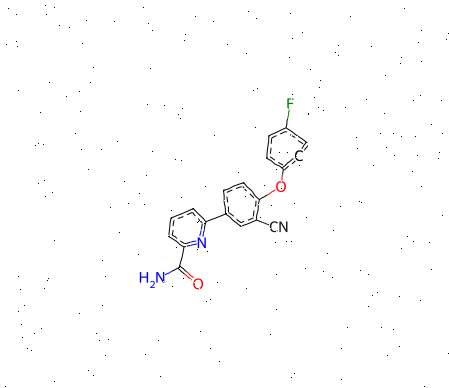 N#Cc1cc(-c2cccc(C(N)=O)n2)ccc1Oc1ccc(F)cc1